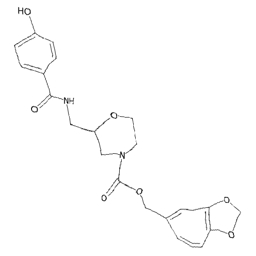 O=C(NCC1CN(C(=O)OCc2ccc3c(c2)OCO3)CCO1)c1ccc(O)cc1